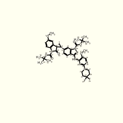 COc1ccc2c(c1)[C@]1(C[C@H]1c1ccc3c(Nc4nc(N5CCC(F)(F)CC5)ncc4OC)nn(C(=O)OC(C)(C)C)c3c1)C(=O)N2C(=O)OC(C)(C)C